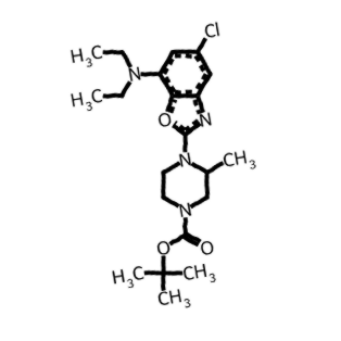 CCN(CC)c1cc(Cl)cc2nc(N3CCN(C(=O)OC(C)(C)C)CC3C)oc12